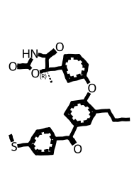 CCCc1cc(C(=O)c2ccc(SC)cc2)ccc1Oc1cccc([C@@]2(C)OC(=O)NC2=O)c1